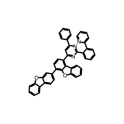 c1ccc(-c2cc(-c3ccc(-c4ccc5c(c4)oc4ccccc45)c4oc5ccccc5c34)nc(-c3ccccc3-c3ccccn3)n2)cc1